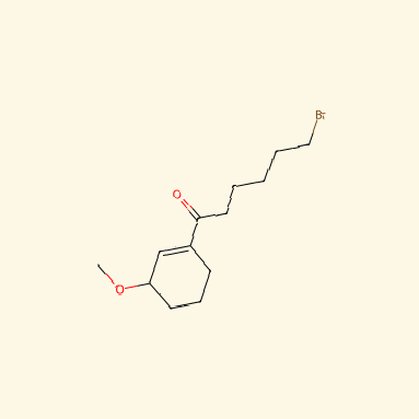 COC1C=C(C(=O)CCCCCBr)CCC1